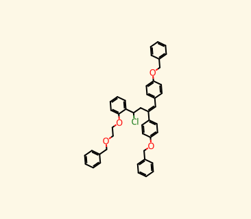 ClC(C/C(=C\c1ccc(OCc2ccccc2)cc1)c1ccc(OCc2ccccc2)cc1)c1ccccc1OCCOCc1ccccc1